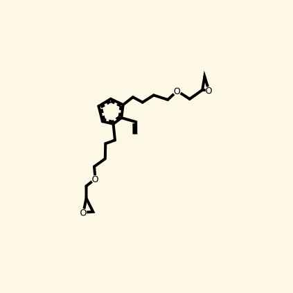 C=Cc1c(CCCCOCC2CO2)cccc1CCCCOCC1CO1